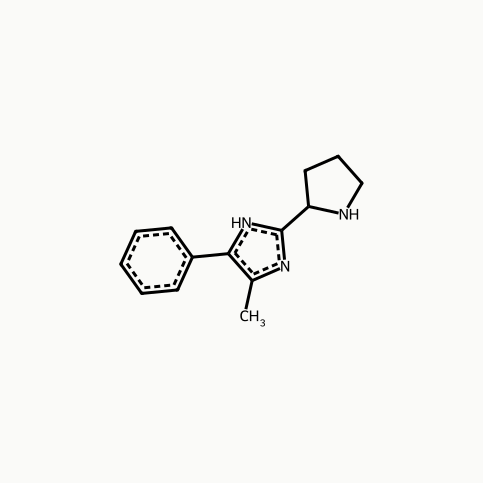 Cc1nc(C2CCCN2)[nH]c1-c1ccccc1